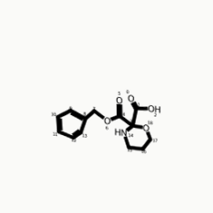 O=C(O)C1(C(=O)OCc2ccccc2)NCCCO1